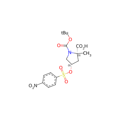 CC(C)(C)OC(=O)N1C[C@@H](OS(=O)(=O)c2ccc([N+](=O)[O-])cc2)C[C@@]1(C)C(=O)O